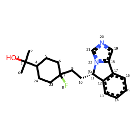 CC(C)(O)C1CCC(F)(CC[C@H]2c3ccccc3-c3cncn32)CC1